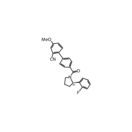 COc1ccc(-c2ccc(C(=O)N3CCC[C@@H]3c3ccccc3F)cc2)c(C#N)c1